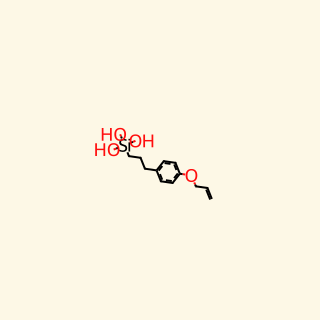 C=CCOc1ccc(CCC[Si](O)(O)O)cc1